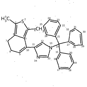 Cc1sc(C)c2c1CCC=C2c1cn(C(c2ccccc2)(c2ccccc2)c2ccccc2)cn1